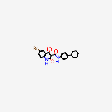 O=C(Nc1ccc(C2CCCCC2)cc1)c1c(O)c2cc(Br)ccc2[nH]c1=O